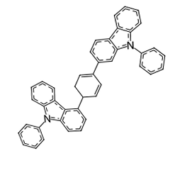 C1=CC(c2cccc3c2c2ccccc2n3-c2ccccc2)CC=C1c1ccc2c3ccccc3n(-c3ccccc3)c2c1